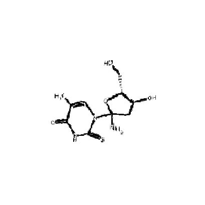 Cc1cn([C@@]2(N)C[C@H](O)[C@@H](CO)O2)c(=S)[nH]c1=O